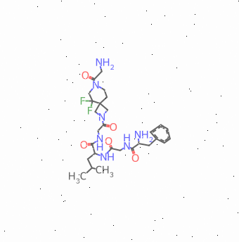 CC(C)CC(NC(=O)CNC(=O)C(N)Cc1ccccc1)C(=O)NCC(=O)N1CC2(CCN(C(=O)CN)CC2(F)F)C1